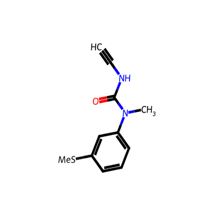 C#CNC(=O)N(C)c1cccc(SC)c1